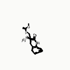 COC(C)OCC1(N)Cc2ccccc2NC1=O